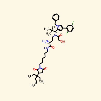 C=CCC(CC)(CC)C1CC(=O)N(CCCCCCNC(=O)[C@@H](N)CCN(C(=O)CO)[C@@H](c2cc(-c3cc(F)ccc3F)cn2Cc2ccccc2)C(C)(C)C)C1=O